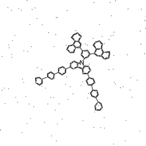 c1ccc(-c2ccc(-c3ccc(-c4ccc5c(c4)c4cc(-c6ccc(-c7ccc(-c8ccccc8)cc7)cc6)ccc4n5-c4cc(-c5cc6ccccc6c6ccccc56)cc(-c5cc6ccccc6c6ccccc56)c4)cc3)cc2)cc1